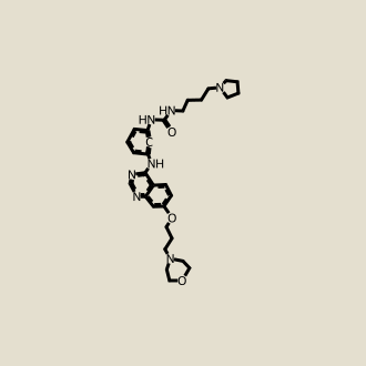 O=C(NCCCCN1CCCC1)Nc1cccc(Nc2ncnc3cc(OCCCN4CCOCC4)ccc23)c1